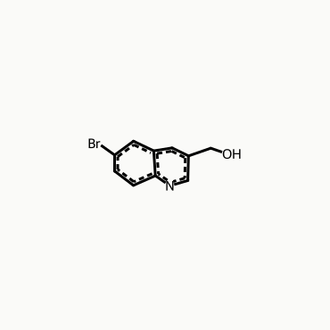 OCc1cnc2ccc(Br)cc2c1